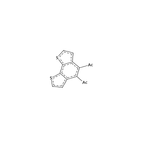 CC(=O)c1c(C(C)=O)c2ccsc2c2sccc12